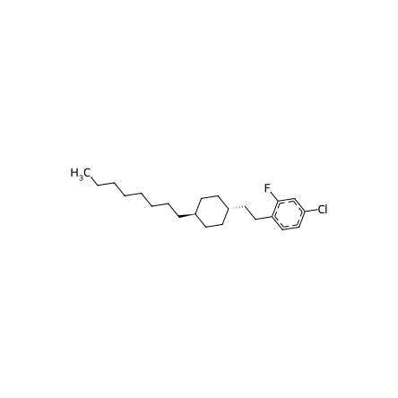 CCCCCCCC[C@H]1CC[C@H](CCc2ccc(Cl)cc2F)CC1